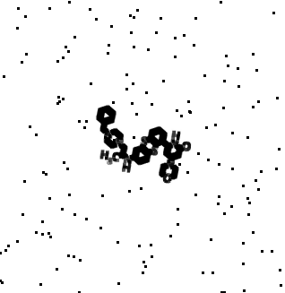 CC(CN1CCN(Cc2ccccc2)CC1)Nc1ccc2c(c1)Sc1cccc(-c3cc(N4CCOCC4)cc(=O)[nH]3)c1S2